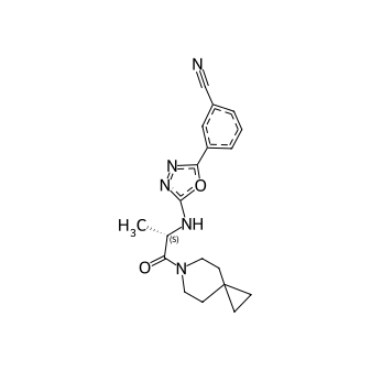 C[C@H](Nc1nnc(-c2cccc(C#N)c2)o1)C(=O)N1CCC2(CC1)CC2